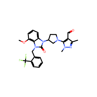 COc1cccc2c1n(Cc1ccccc1C(F)(F)F)c(=O)n2C1CCN(c2c(C=O)c(C)nn2C)C1